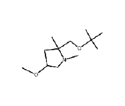 COC1CN(C)C(C)(COC(C)(C)C)C1